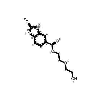 O=C(OCCOCCO)c1ccc2[nH]c(=O)[nH]c2c1